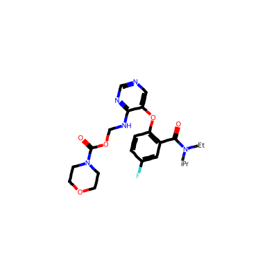 CCN(C(=O)c1cc(F)ccc1Oc1cncnc1NCOC(=O)N1CCOCC1)C(C)C